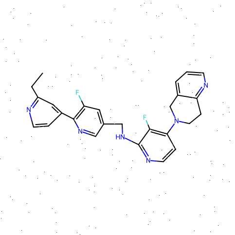 CCc1cc(-c2ncc(CNc3nccc(N4CCc5ncccc5C4)c3F)cc2F)ccn1